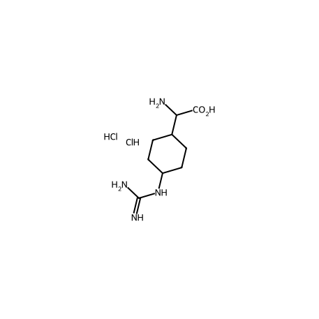 Cl.Cl.N=C(N)NC1CCC(C(N)C(=O)O)CC1